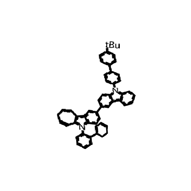 CC(C)(C)c1ccc(-c2ccc(-n3c4ccccc4c4cc(-c5ccc6c(c5)c5c(n6-c6ccccc6C6=CC=CCC6)C#CCC=C5)ccc43)cc2)cc1